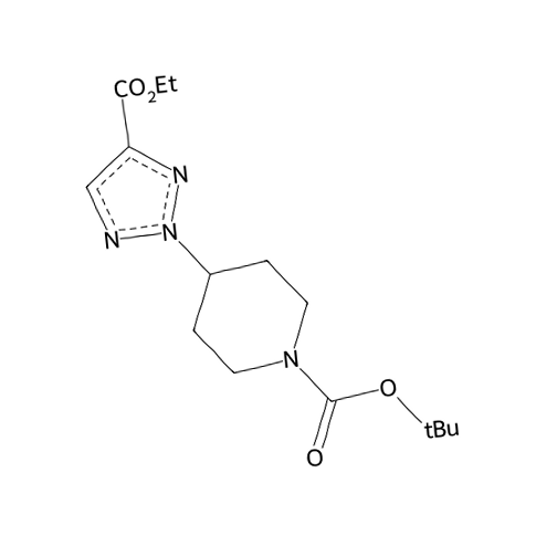 CCOC(=O)c1cnn(C2CCN(C(=O)OC(C)(C)C)CC2)n1